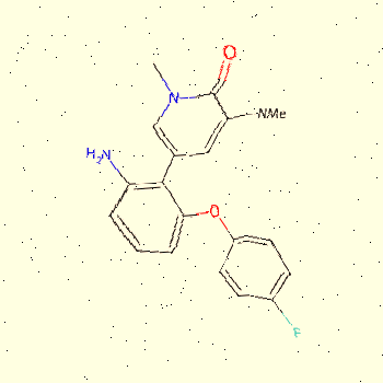 CNc1cc(-c2c(N)cccc2Oc2ccc(F)cc2)cn(C)c1=O